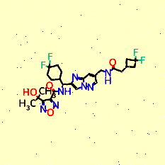 CC(C)(O)c1nonc1C(=O)N[C@H](c1cn2ncc(CNC(=O)CC3CC(F)(F)C3)cc2n1)C1CCC(F)(F)CC1